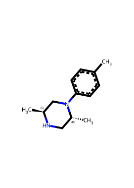 Cc1ccc(N2C[C@H](C)NC[C@H]2C)cc1